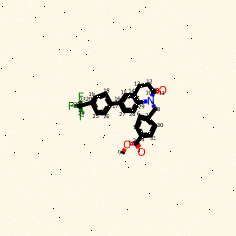 COC(=O)c1ccc(CN2C(=O)CCc3cc(-c4ccc(C(F)(F)F)cc4)ccc32)cc1